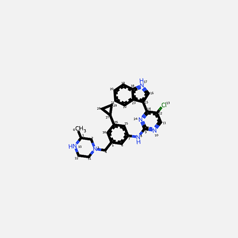 CC1CN(Cc2cc(Nc3ncc(Cl)c(-c4c[nH]c5ccccc45)n3)cc(C3CC3)c2)CCN1